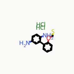 Cl.Cl.Nc1ccc(N)c(-c2ccccc2OC=S)c1